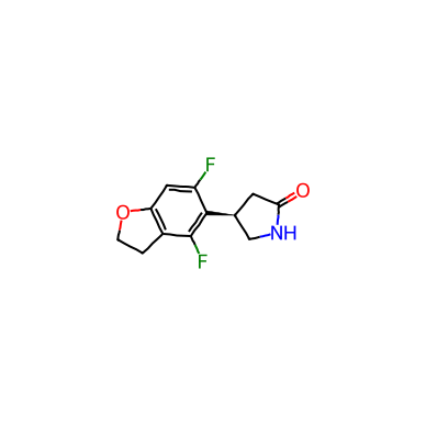 O=C1C[C@H](c2c(F)cc3c(c2F)CCO3)CN1